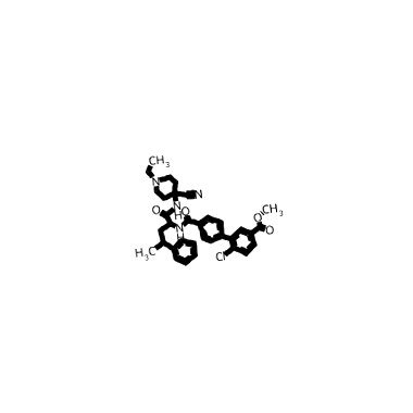 CCN1CCC(C#N)(NC(=O)C(CC(C)c2ccccc2)NC(=O)c2ccc(-c3cc(C(=O)OC)ccc3Cl)cc2)CC1